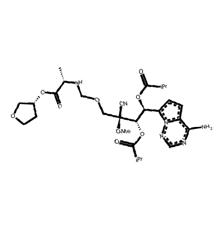 CO[C@](C#N)(COCN[C@@H](C)C(=O)O[C@@H]1CCOC1)[C@@H](OC(=O)C(C)C)[C@@H](OC(=O)C(C)C)c1ccc2c(N)ncnn12